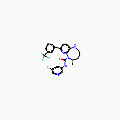 C[C@@H]1CCCNc2ccc(-c3cccc(C(F)(F)F)c3)nc2N1C(=O)Nc1cncc(F)c1